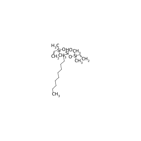 C=C[Si](C)(C)O[Si](O)(CCCCCCCCCC)O[Si](C)(C)C=C